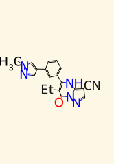 CCc1c(-c2cccc(-c3cnn(C)c3)c2)[nH]c2c(C#N)cnn2c1=O